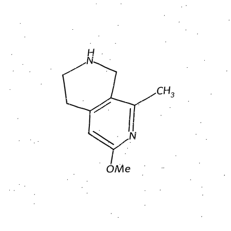 COc1cc2c(c(C)n1)CNCC2